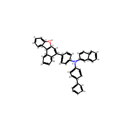 c1ccc(-c2ccc(N(c3ccc(-c4cc5oc6ccccc6c5c5ccccc45)cc3)c3ccc4ccccc4c3)cc2)cc1